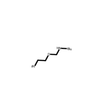 CC(C)CCOCNC(C)(C)C